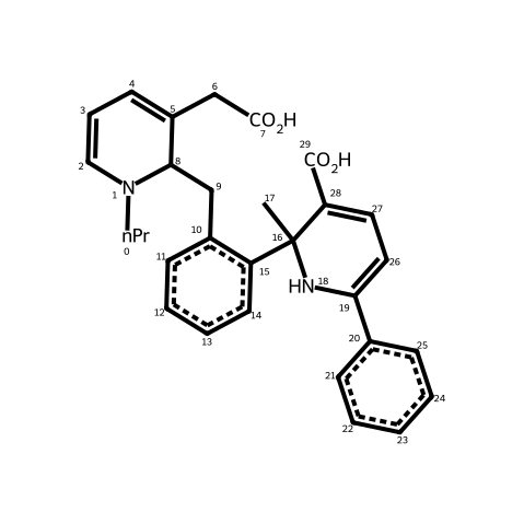 CCCN1C=CC=C(CC(=O)O)C1Cc1ccccc1C1(C)NC(c2ccccc2)=CC=C1C(=O)O